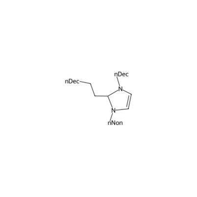 CCCCCCCCCCCCC1N(CCCCCCCCC)C=CN1CCCCCCCCCC